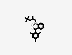 Cc1cc(C)c(C(=O)c2ccccc2[P](=O)CC(C)CC(C)(C)C)c(C)c1